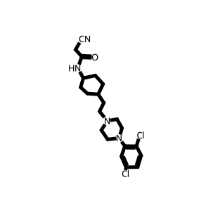 N#CCC(=O)NC1CCC(CCN2CCN(c3cc(Cl)ccc3Cl)CC2)CC1